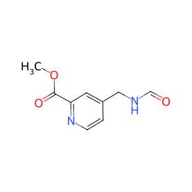 COC(=O)c1cc(CNC=O)ccn1